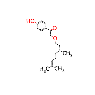 CC(C)=CCCC(C)CCOCC(=O)c1ccc(O)cc1